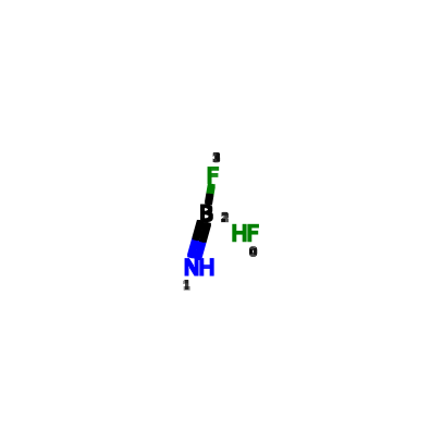 F.N=BF